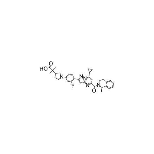 C[C@@H]1c2ccccc2CCN1C(=O)c1cc(C2CC2)n2nc(-c3ccc(N4CC[C@@H](C(C)(C)C(=O)O)C4)cc3F)cc2n1